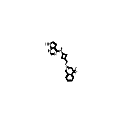 CN(c1ncnc2[nH]ccc12)C1CC(CSN2Cc3ccccc3C(F)(F)C2)C1